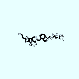 Cn1c2nc(CCO)sc2c2cnn(Cc3cccc4c3cnn4COCC[Si](C)(C)C)c(=O)c21